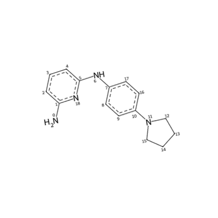 Nc1cccc(Nc2ccc(N3CCCC3)cc2)n1